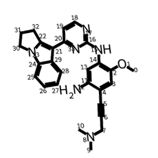 COc1cc(C#CCN(C)C)c(N)cc1Nc1nccc(-c2c3n(c4ccccc24)CCC3)n1